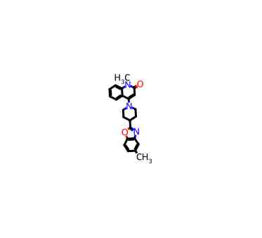 Cc1ccc2oc(C3CCN(c4cc(=O)n(C)c5ccccc45)CC3)nc2c1